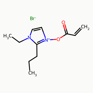 C=CC(=O)O[n+]1ccn(CC)c1CCC.[Br-]